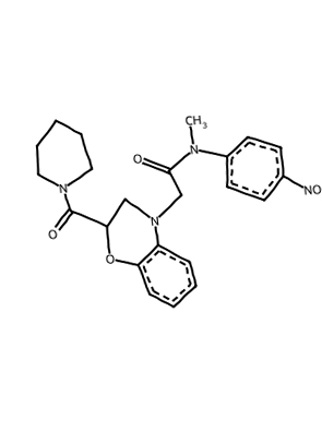 CN(C(=O)CN1CC(C(=O)N2CCCCC2)Oc2ccccc21)c1ccc([N+](=O)[O-])cc1